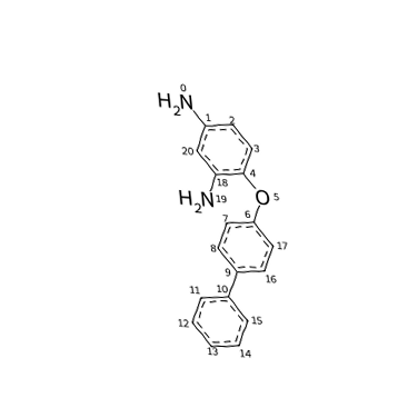 Nc1ccc(Oc2ccc(-c3ccccc3)cc2)c(N)c1